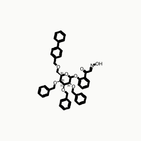 O=C(C=NO)c1ccccc1OC1O[C@H](COCc2ccc(-c3ccccc3)cc2)[C@@H](OCc2ccccc2)[C@H](OCc2ccccc2)[C@H]1OCc1ccccc1